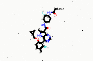 COCC(=O)N[C@@H]1CC[C@H](NC(=O)c2c(C)[nH]c3c(-c4c(OCC5CC5)ccc(C)c4F)ncnc23)C[C@H]1F